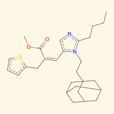 CCCCc1ncc(C=C(Cc2cccs2)C(=O)OC)n1CCC12CC3CC(CC(C3)C1)C2